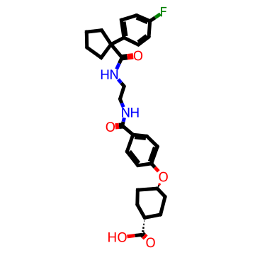 O=C(NCCNC(=O)C1(c2ccc(F)cc2)CCCC1)c1ccc(O[C@H]2CC[C@@H](C(=O)O)CC2)cc1